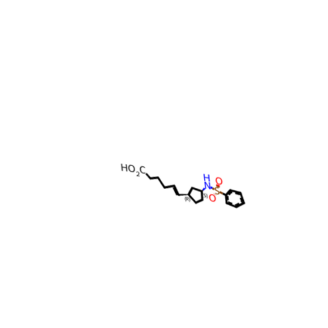 O=C(O)CCCC=C[C@@H]1CC[C@H](NS(=O)(=O)c2ccccc2)C1